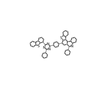 c1ccc(-c2nc(-c3ccc(-c4cc5c(-c6ccccc6)nc6ccccc6c5c5c4sc4ccccc45)cc3)nc(-c3cccc4c3sc3ccccc34)n2)cc1